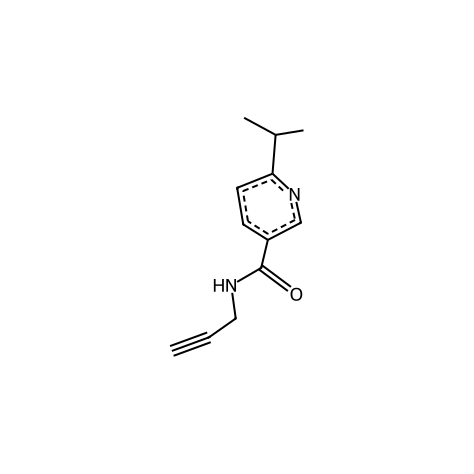 C#CCNC(=O)c1ccc(C(C)C)nc1